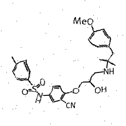 COc1ccc(CC(C)(C)NCC(O)COc2ccc(NS(=O)(=O)c3ccc(C)cc3)cc2C#N)cc1